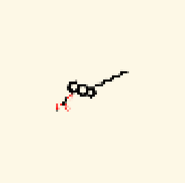 CCCCCCCC[C@H]1CCC2Cc3c(cccc3OCC(=O)OC)CC21